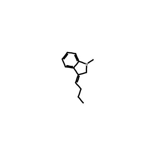 CCC/C=C1\CN(C)c2ccccc21